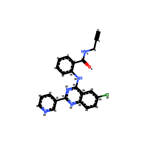 C#CCNC(=O)c1ccccc1Nc1nc(-c2cccnc2)nc2ccc(Cl)cc12